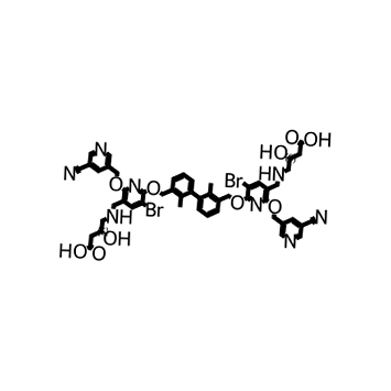 Cc1c(COc2nc(OCc3cncc(C#N)c3)c(CNC[C@@H](O)CC(=O)O)cc2Br)cccc1-c1cccc(COc2nc(OCc3cncc(C#N)c3)c(CNC[C@@H](O)CC(=O)O)cc2Br)c1C